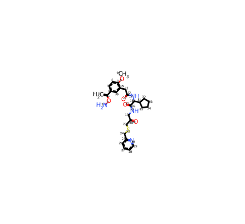 C=C(ON)c1ccc(OC)c(CC(=O)N[C@H](C(=O)NCC(=O)CSCc2ccccn2)C2CCCC2)c1